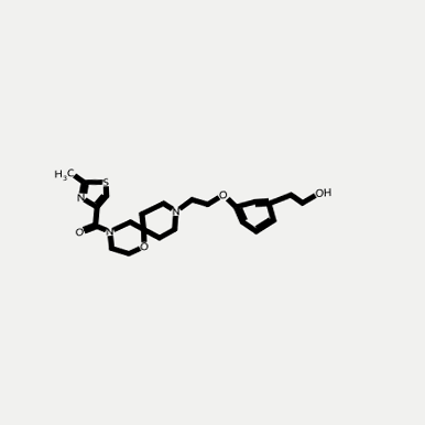 Cc1nc(C(=O)N2CCOC3(CCN(CCOc4cccc(CCO)c4)CC3)C2)cs1